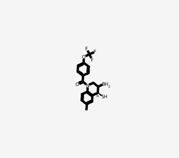 BC1CN(C(=O)c2ccc(OC(F)(F)F)cc2)c2ccc(C)cc2[C@@H]1S